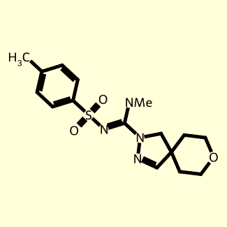 CN/C(=N\S(=O)(=O)c1ccc(C)cc1)N1CC2(C=N1)CCOCC2